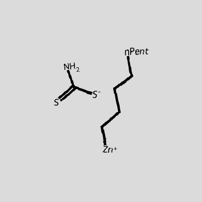 CCCCCCCC[CH2][Zn+].NC(=S)[S-]